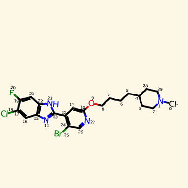 CN1CCC(CCCCOc2cc(-c3nc4cc(Cl)c(F)cc4[nH]3)c(Br)cn2)CC1